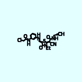 C#CCNC(=O)C(C#N)=c1sc(=CNc2cccc(NC(=O)CCl)c2)c(=O)n1CC